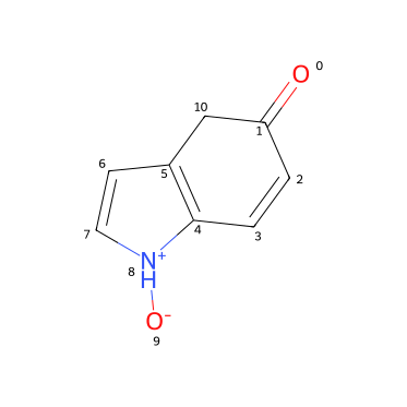 O=C1C=CC2=C(C=C[NH+]2[O-])C1